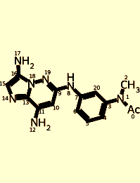 CC(=O)N(C)c1cccc(Nc2cc(N)c3ncc(N)n3n2)c1